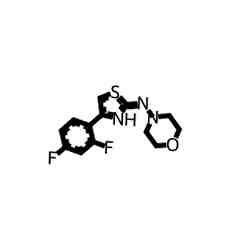 Fc1ccc(-c2csc(=NN3CCOCC3)[nH]2)c(F)c1